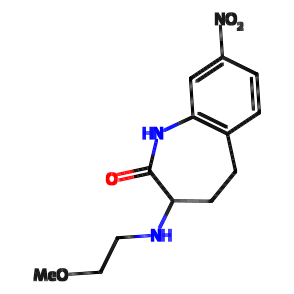 COCCNC1CCc2ccc([N+](=O)[O-])cc2NC1=O